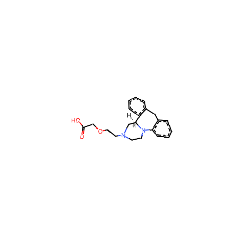 O=C(O)COCCN1CCN2c3ccccc3Cc3ccccc3[C@@H]2C1